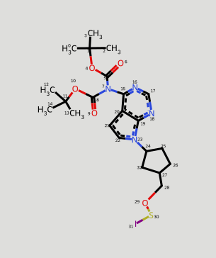 CC(C)(C)OC(=O)N(C(=O)OC(C)(C)C)c1ncnc2c1ccn2C1CCC(COSI)C1